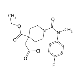 CCOC(=O)C1(CC(=O)Cl)CCN(C(=O)N(C)c2ccc(F)cc2)CC1